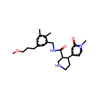 COCCCc1cc(C)c(C)c(CNC(=O)C2CNCCC2c2ccn(C)c(=O)c2)c1